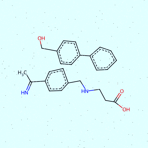 CC(=N)c1ccc(CNCCC(=O)O)cc1.OCc1ccc(-c2ccccc2)cc1